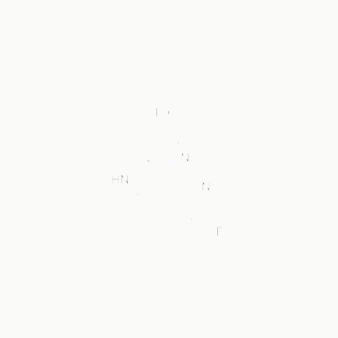 Fc1ccc(/C(=N/OCC(F)(F)F)C2CCNCC2)nc1